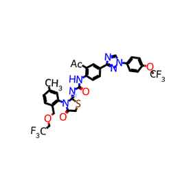 CC(=O)c1cc(-c2ncn(-c3ccc(OC(F)(F)F)cc3)n2)ccc1NC(=O)/N=C1\SCC(=O)N1c1cc(C)ccc1COCC(F)(F)F